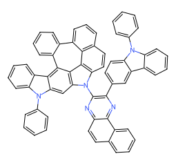 c1ccc(-n2c3ccccc3c3cc(-c4nc5c(ccc6ccccc65)nc4-n4c5cc6c(c7c5c5c8c(cccc8ccc54)-c4ccccc4-7)c4ccccc4n6-c4ccccc4)ccc32)cc1